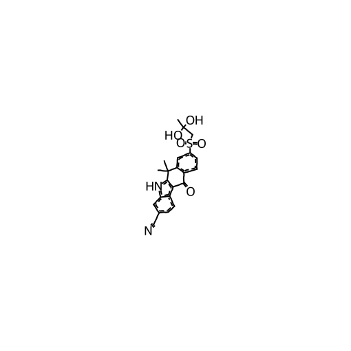 CC(O)(O)CS(=O)(=O)c1ccc2c(c1)C(C)(C)c1[nH]c3cc(C#N)ccc3c1C2=O